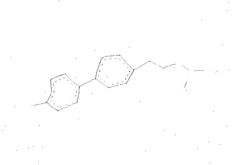 CO[SiH](OC)OCCc1ccc(-c2ccc(C(F)(F)F)cc2)cc1